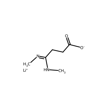 CN=C(CCC(=O)[O-])NC.[Li+]